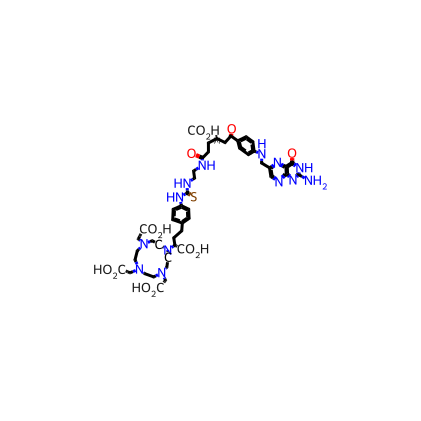 Nc1nc2ncc(CNc3ccc(C(=O)C[C@@H](CCC(=O)NCCNC(=S)Nc4ccc(CCC(C(=O)O)N5CCN(CC(=O)O)CCN(CC(=O)O)CCN(CC(=O)O)CC5)cc4)C(=O)O)cc3)nc2c(=O)[nH]1